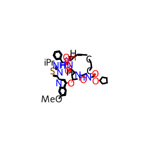 COc1ccc2c(O[C@@H]3C[C@H]4C(=O)N[C@]5(P(=O)(O)Cc6ccccc6)C[C@H]5/C=C\CCCCC[C@H](NC(=O)OC5CCCC5)C(=O)N4C3)cc(-c3csc(NC(C)C)n3)nc2c1